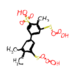 Cc1cc(-c2cc(SOOO)c(C)c(S(=O)(=O)O)c2)cc(SOOO)c1C